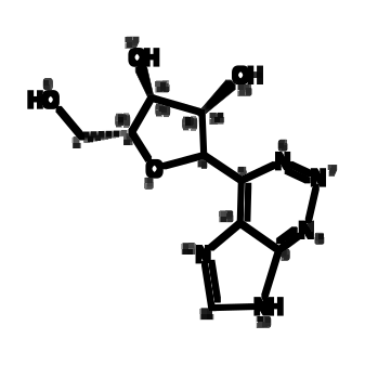 OC[C@H]1OC(c2nnnc3[nH]cnc23)[C@H](O)[C@@H]1O